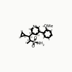 COc1ccccc1-c1cncc(C(C2CC2)C(C)S(N)(=O)=O)c1